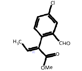 C/C=C(/C(=O)OC)c1ccc(Cl)cc1C=O